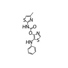 Cc1csc(NC(=O)Oc2ncsc2Nc2ccccc2)n1